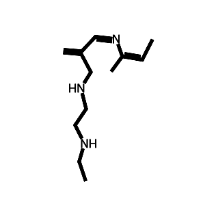 C=C(/C=N\C(C)=C/C)CNCCNCC